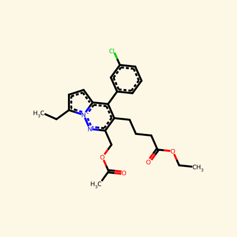 CCOC(=O)CCCc1c(COC(C)=O)nn2c(CC)ccc2c1-c1cccc(Cl)c1